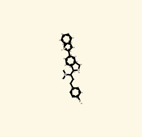 CN(C)C(CCc1ccc(F)cc1)C1OCc2cc(-c3cc4ccccc4s3)ccc21